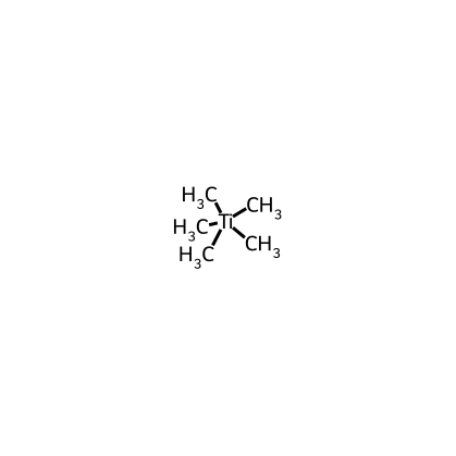 [CH3][Ti]([CH3])([CH3])([CH3])[CH3]